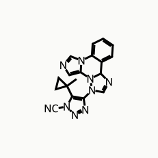 CC1(c2c(N3C=NC4c5ccccc5-n5cncc5N43)nnn2C#N)CC1